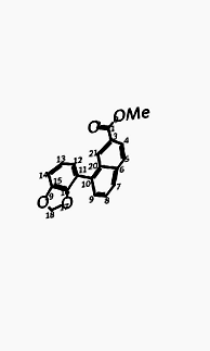 COC(=O)c1ccc2cccc(-c3cccc4c3OCO4)c2c1